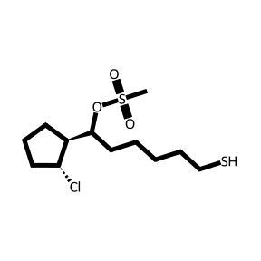 CS(=O)(=O)OC(CCCCCS)[C@@H]1CCC[C@H]1Cl